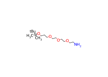 CC(C)(C)[Si](C)(C)OCCCOCCOCCOCCN